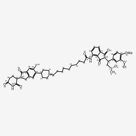 CCOc1cc(C(C[S+](C)[O-])N2C(=O)c3cccc(NC(=O)CCCCCCCCCN4CCC(c5cc6c(cc5F)C(=O)N(C5CCC(=O)NC5=O)C6)CC4)c3C2=O)ccc1OC